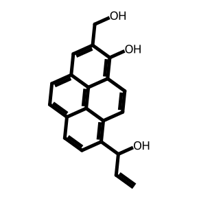 C=CC(O)c1ccc2ccc3cc(CO)c(O)c4ccc1c2c34